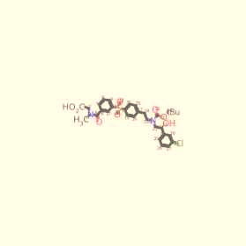 CN(CC(=O)O)C(=O)c1cccc(S(=O)(=O)c2ccc(CCN(C[C@H](O)c3cccc(Cl)c3)C(=O)OC(C)(C)C)cc2)c1